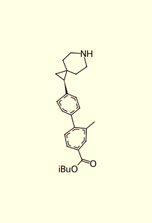 Cc1cc(C(=O)OCC(C)C)ccc1-c1ccc([C@H]2CC23CCNCC3)cc1